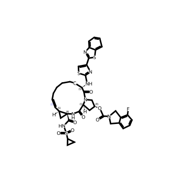 O=C1N[C@]2(C(=O)NS(=O)(=O)C3CC3)C[C@H]2/C=C\CCCCC[C@H](Nc2nc(-c3nc4ccccc4s3)cs2)C(=O)N2C[C@H](OC(=O)N3Cc4cccc(F)c4C3)C[C@@H]12